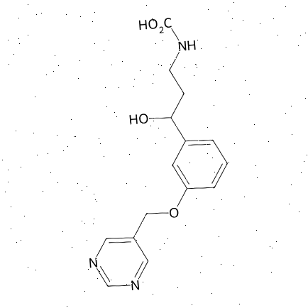 O=C(O)NCCC(O)c1cccc(OCc2cncnc2)c1